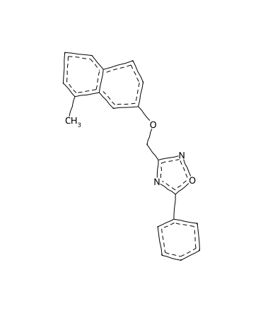 Cc1cccc2ccc(OCc3noc(-c4ccccc4)n3)cc12